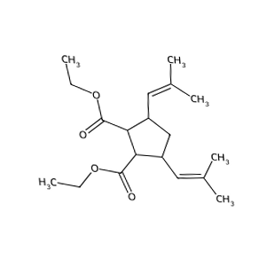 CCOC(=O)C1C(C=C(C)C)CC(C=C(C)C)C1C(=O)OCC